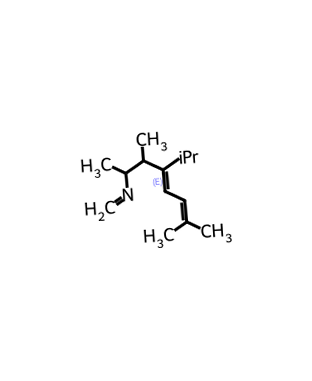 C=NC(C)C(C)/C(=C/C=C(C)C)C(C)C